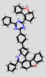 c1ccc(-c2nc(-c3ccc(-c4ccc5c(c4)nc(-c4ccccc4)c4ccc6oc7ccccc7c6c45)cc3)nc(-c3cccc4oc5ccccc5c34)n2)cc1